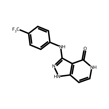 O=c1[nH]ccc2[nH]nc(Nc3ccc(C(F)(F)F)cc3)c12